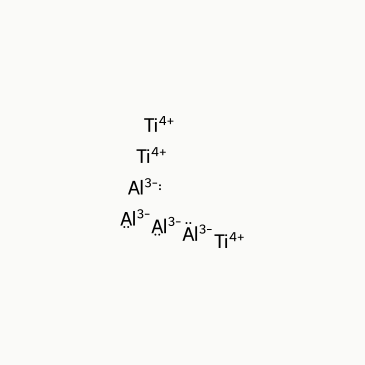 [Al-3].[Al-3].[Al-3].[Al-3].[Ti+4].[Ti+4].[Ti+4]